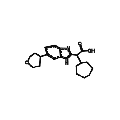 O=C(O)C(c1nc2ccc(C3CCOCC3)cc2[nH]1)C1CCCCCC1